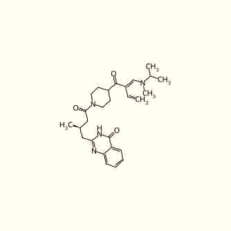 C=C/C(=C\N(C)C(C)C)C(=O)C1CCN(C(=O)C[C@H](C)Cc2nc3ccccc3c(=O)[nH]2)CC1